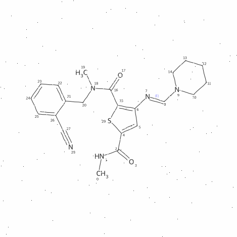 CNC(=O)c1cc(/N=C/N2CCCCC2)c(C(=O)N(C)Cc2ccccc2C#N)s1